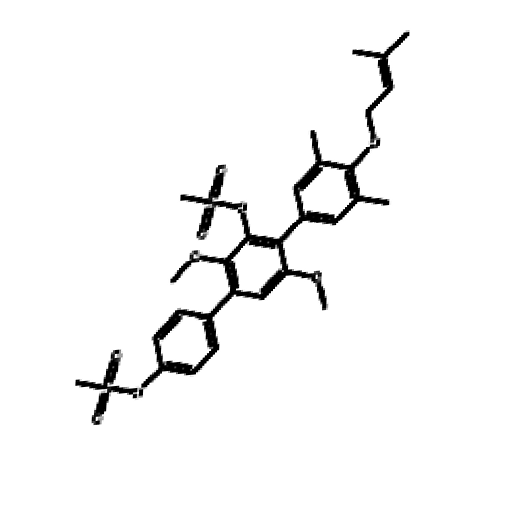 COc1cc(-c2ccc(OS(C)(=O)=O)cc2)c(OC)c(OS(C)(=O)=O)c1-c1cc(C)c(OCC=C(C)C)c(C)c1